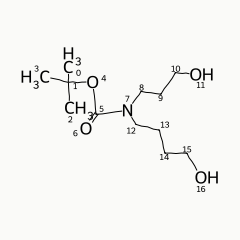 CC(C)(C)OC(=O)N(CCCO)CCCCO